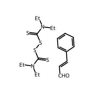 CCN(CC)C(=S)SSC(=S)N(CC)CC.O=C/C=C/c1ccccc1